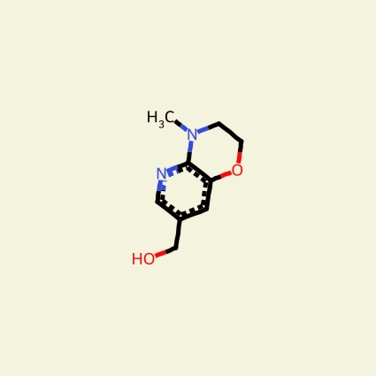 CN1CCOc2cc(CO)cnc21